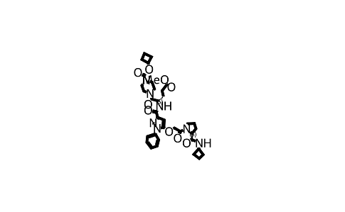 COC(=O)CC[C@H](NC(=O)c1cc(OCC(=O)N2CCC[C@H]2C(=O)NC2CCC2)n(-c2ccccc2)n1)C(=O)N1CCN(C(=O)OC2CCC2)CC1